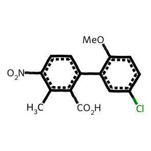 COc1ccc(Cl)cc1-c1ccc([N+](=O)[O-])c(C)c1C(=O)O